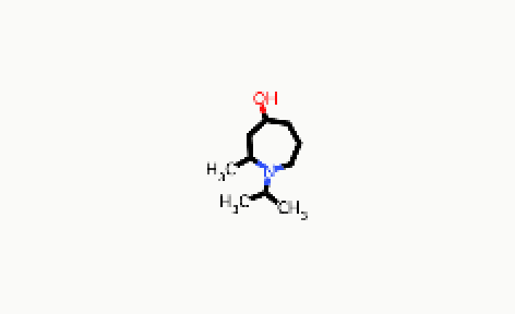 CC(C)N1CCCC(O)CC1C